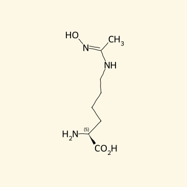 CC(=NO)NCCCC[C@H](N)C(=O)O